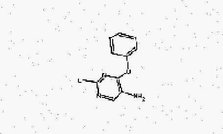 Nc1cnc(Cl)nc1Oc1ccccc1